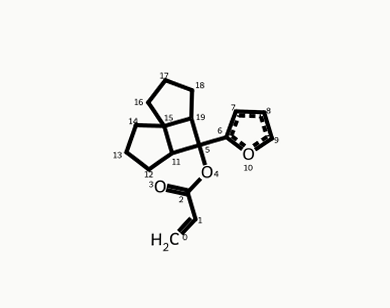 C=CC(=O)OC1(c2ccco2)C2CCCC23CCCC31